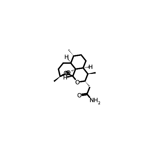 C[C@H]1[C@H](CC(N)=O)O[C@@H]2O[C@@]3(C)CC[C@H]4[C@H](C)CC[C@@H]1[C@@]24OO3